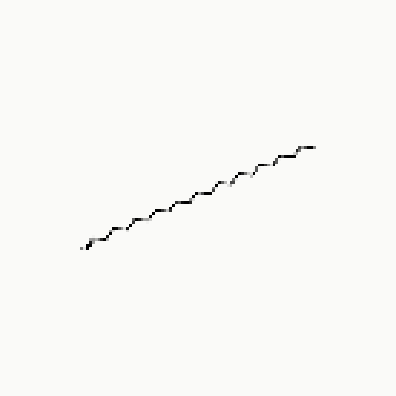 [CH]=CCCCCCCCCCCCCCCCCCCCCC